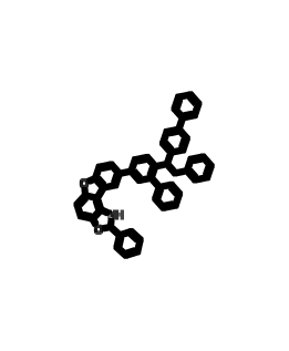 c1ccc(CC(c2ccc(-c3ccccc3)cc2)c2ccc(-c3ccc4oc5ccc6c(c5c4c3)NC(c3ccccc3)O6)cc2-c2ccccc2)cc1